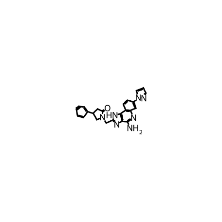 Nc1nc2cc(-n3cccn3)ccc2c2[nH]c(CN3CC(c4cc#ccc4)CC3=O)nc12